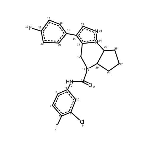 O=C(Nc1ccc(F)c(Cl)c1)N1Cc2c(-c3ccc(F)cc3)cnn2C2CCCC21